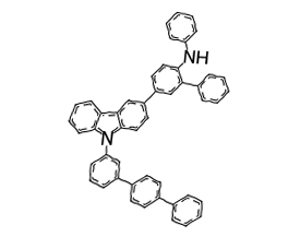 c1ccc(Nc2ccc(-c3ccc4c(c3)c3ccccc3n4-c3cccc(-c4ccc(-c5ccccc5)cc4)c3)cc2-c2ccccc2)cc1